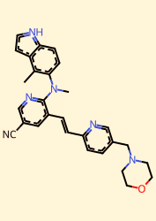 Cc1c(N(C)c2ncc(C#N)cc2C=Cc2ccc(CN3CCOCC3)cn2)ccc2[nH]ccc12